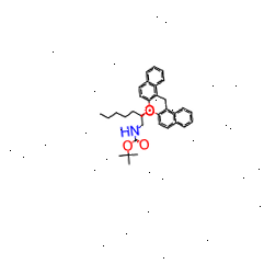 CCCCCCOc1ccc2ccccc2c1Cc1c(OCCNC(=O)OC(C)(C)C)ccc2ccccc12